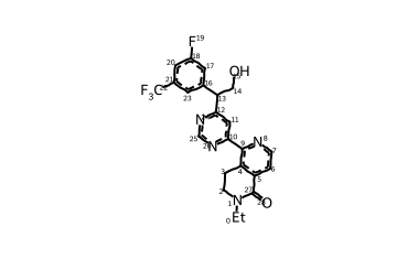 CCN1CCc2c(ccnc2-c2cc(C(CO)c3cc(F)cc(C(F)(F)F)c3)ncn2)C1=O